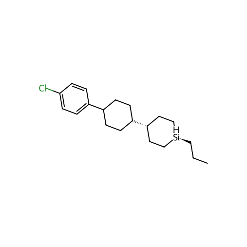 CCC[Si@H]1CC[C@H](C2CCC(c3ccc(Cl)cc3)CC2)CC1